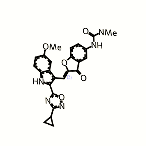 CNC(=O)Nc1ccc2c(c1)C(=O)/C(=C/c1c(-c3nc(C4CC4)no3)[nH]c3ccc(OC)cc13)O2